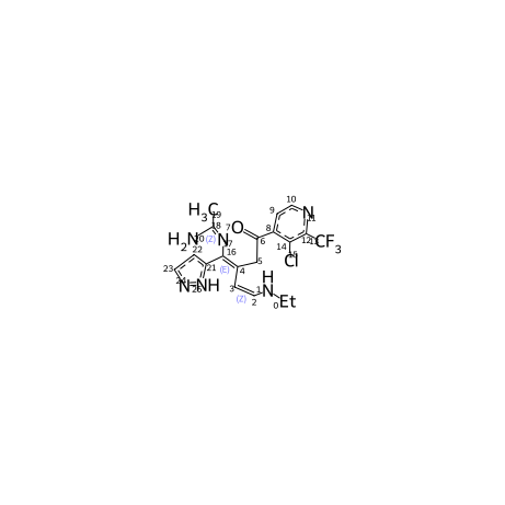 CCN\C=C/C(CC(=O)c1ccnc(C(F)(F)F)c1Cl)=C(/N=C(/C)N)c1ccn[nH]1